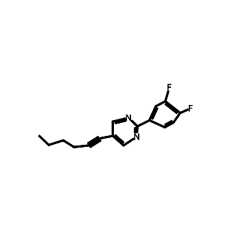 CCCCC#Cc1cnc(-c2ccc(F)c(F)c2)nc1